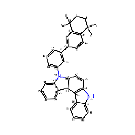 CC1(C)CCC(C)(C)c2cc(-c3cccc(-n4c5ccccc5c5c6c(ccc54)[nH]c4ccccc46)c3)ccc21